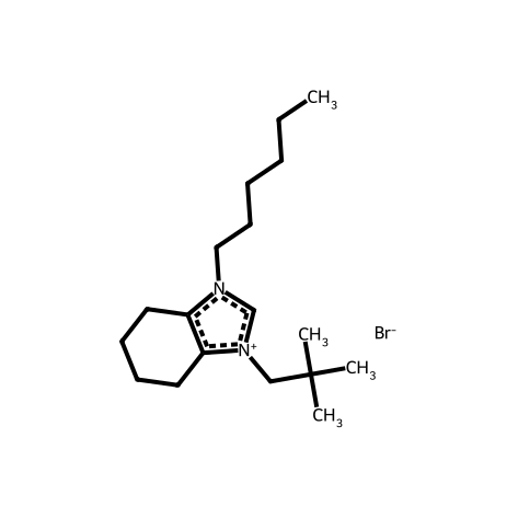 CCCCCCn1c[n+](CC(C)(C)C)c2c1CCCC2.[Br-]